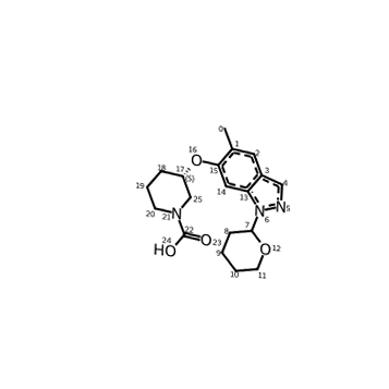 Cc1cc2cnn(C3CCCCO3)c2cc1O[C@H]1CCCN(C(=O)O)C1